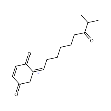 CC(C)C(=O)CCCCC/C=C1/CC(=O)C=CC1=O